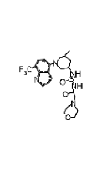 CC1CC(N[S+]([O-])NC(=O)CN2CCOCC2)CN(c2ccc(C(F)(F)F)c3ncccc23)C1